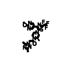 COc1ncc(-c2nc(C(F)(F)F)sc2N2CCN(C(=O)Cn3nc(C)nc3C)[C@H](C)C2)cn1